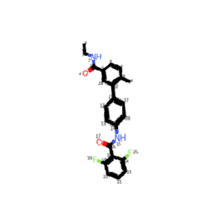 CCNC(=O)c1ccc(C)c(-c2ccc(NC(=O)c3c(F)cccc3F)cc2)c1